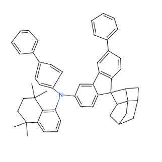 CC1(C)CCC(C)(C)c2c(N(c3ccc(-c4ccccc4)cc3)c3ccc4c(c3)-c3cc(-c5ccccc5)ccc3C43C4CC5CC6CC3C64C5)cccc21